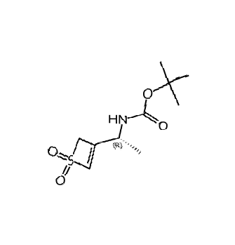 C[C@@H](NC(=O)OC(C)(C)C)C1=CS(=O)(=O)C1